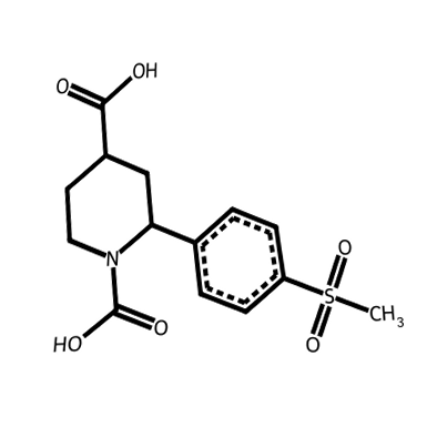 CS(=O)(=O)c1ccc(C2CC(C(=O)O)CCN2C(=O)O)cc1